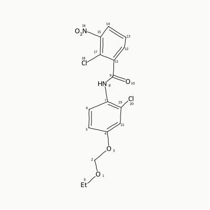 CCOCOc1ccc(NC(=O)c2cccc([N+](=O)[O-])c2Cl)c(Cl)c1